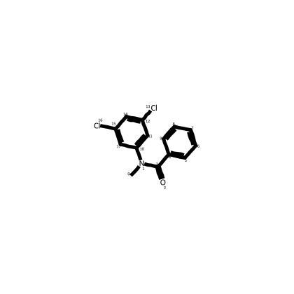 CN(C(=O)c1ccccc1)c1cc(Cl)cc(Cl)c1